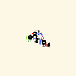 COc1cc(C(=O)NC[C@H](c2cc3c(c(-c4ccc(F)c(Cl)c4)n2)OC[C@@]3(N)C(F)(F)F)C2CC2)ccc1OC1CC1